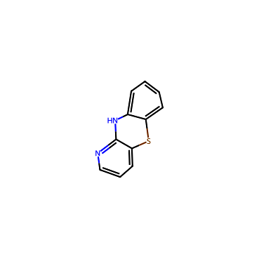 c1ccc2c(c1)Nc1ncccc1S2